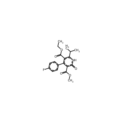 CCOC(=O)c1c(C(C)C)[nH]c(=O)c(C(=O)OC)c1-c1ccc(F)cc1